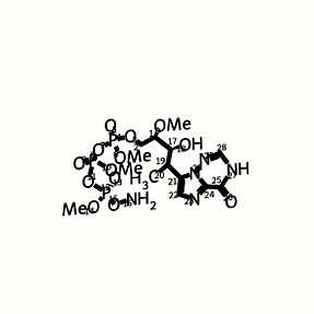 CO[C@H](COP(=O)(OC)OP(=O)(OC)OP(=O)(OC)ON)[C@@H](O)C(C)c1cnc2c(=O)[nH]cnn12